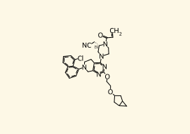 C=CC(=O)N1CCN(c2nc(OCCOC3CC4CC4C3)nc3c2CCN(c2cccc4cccc(Cl)c24)C3)C[C@@H]1CC#N